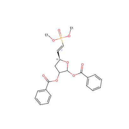 CCOP(=O)(/C=C/[C@@H]1CC(OC(=O)c2ccccc2)C(OC(=O)c2ccccc2)O1)OCC